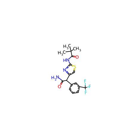 CC(C)(C)C(=O)Nc1nc(C(C(N)=O)c2cccc(C(F)(F)F)c2)cs1